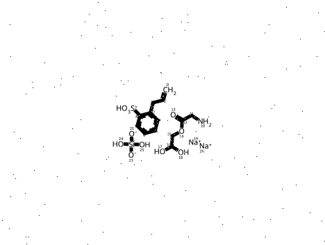 C=CCc1ccccc1S(=O)(=O)O.NCC(=O)OCC(O)O.[Na+].[Na+].[O-][Si]([O-])(O)O